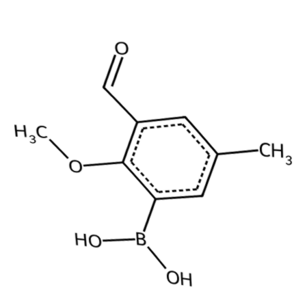 COc1c(C=O)cc(C)cc1B(O)O